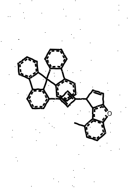 Cc1cccc2oc3c(c12)C(C1=CC(c2cccc4c2C2(c5ccccc5-c5ccccc52)c2ccccc2-4)=C1)C=C3